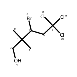 CC(C)(CO)C(Br)CC(Cl)(Cl)Cl